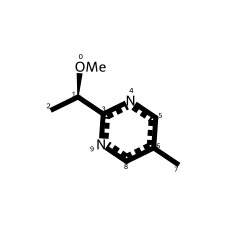 CO[C@H](C)c1ncc(C)cn1